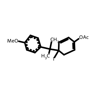 COc1ccc(C(C)(C)C2(I)C=CC(OC(C)=O)=CC2)cc1